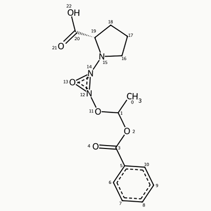 CC(OC(=O)c1ccccc1)On1on1N1CCC[C@H]1C(=O)O